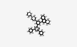 C1=CCCC(C2C=CC(c3cc(-c4nc(-c5ccccc5)nc(-c5ccccc5)n4)cc(-c4cc5c(c6ccccc46)CCC=C5)c3)=CC2)=C1